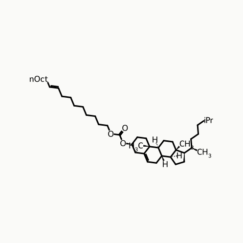 CCCCCCCCC=CCCCCCCCCOC(=O)O[C@H]1CC[C@@]2(C)C(=CC[C@H]3[C@@H]4CC[C@H]([C@H](C)CCCC(C)C)[C@@]4(C)CC[C@@H]32)C1